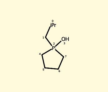 CC(C)C[P]1(O)CCCC1